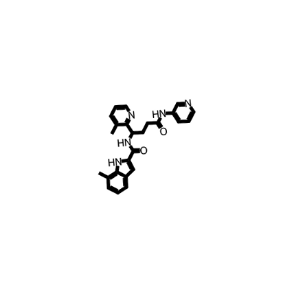 Cc1cccnc1C(CCC(=O)Nc1cccnc1)NC(=O)c1cc2cccc(C)c2[nH]1